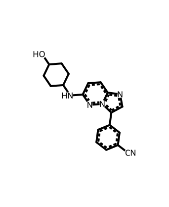 N#Cc1cccc(-c2cnc3ccc(NC4CCC(O)CC4)nn23)c1